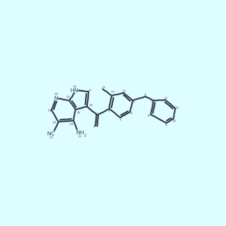 C=C(c1ccc(Cc2ccccc2)cc1C)c1c[nH]c2ncc(C#N)c(N)c12